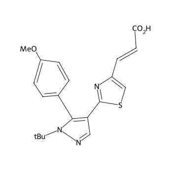 COc1ccc(-c2c(-c3nc(C=CC(=O)O)cs3)cnn2C(C)(C)C)cc1